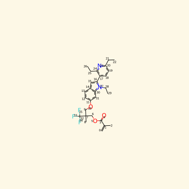 C=C(C)C(=O)OCC(C)(COc1ccc2cc(-c3ccc(CC)nc3CC)n(CC)c2c1)C(F)(F)F